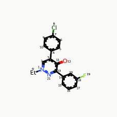 CCn1cc(-c2ccc(Cl)cc2)c(=O)c(-c2cccc(F)c2)n1